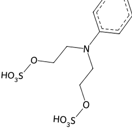 O=S(=O)(O)OCCN(CCOS(=O)(=O)O)c1ccccc1